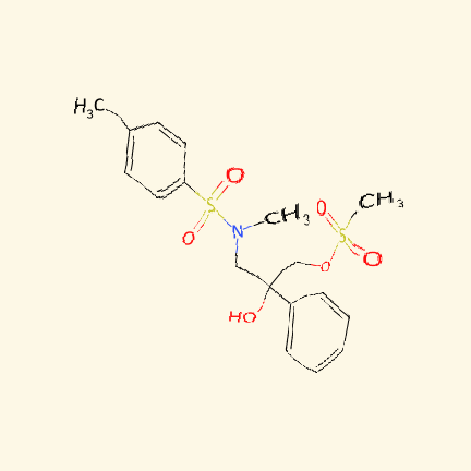 Cc1ccc(S(=O)(=O)N(C)CC(O)(COS(C)(=O)=O)c2ccccc2)cc1